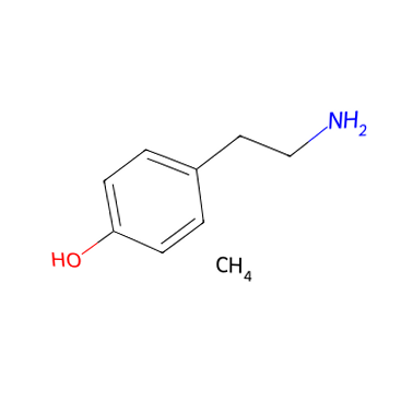 C.NCCc1ccc(O)cc1